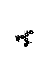 Cc1cccc(Nc2ccc(C(c3ccc(Nc4ccccc4)cc3)c3ccc(Nc4ccccc4)cc3)cc2)c1